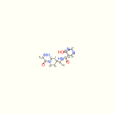 CC(N)C(=O)N1CCC(C(C)NC(=O)c2cncnc2O)CC1